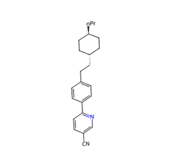 CCC[C@H]1CC[C@H](CCc2ccc(-c3ccc(C#N)cn3)cc2)CC1